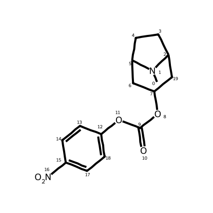 CN1C2CCC1CC(OC(=O)Oc1ccc([N+](=O)[O-])cc1)C2